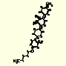 CCCCCOc1ccc(C2CCC(c3ccc(-c4ccc(C)cc4)c(F)c3F)CC2)c(F)c1